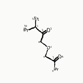 CCC(C(=O)COCC(=O)C(C)C)C(C)C